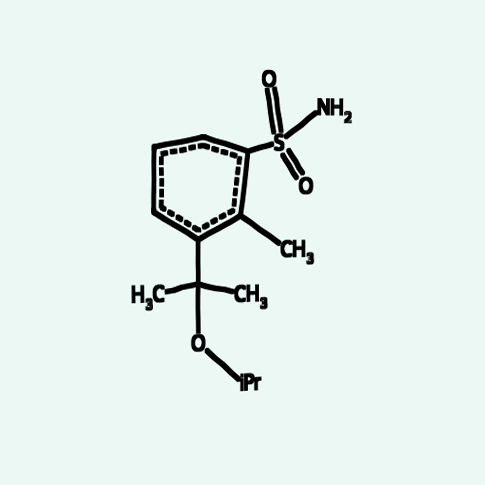 Cc1c(C(C)(C)OC(C)C)cccc1S(N)(=O)=O